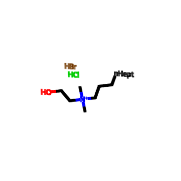 Br.CCCCCCCCCC[N+](C)(C)CCO.Cl